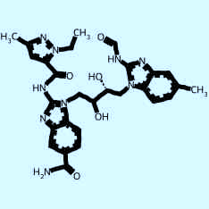 CCn1nc(C)cc1C(=O)Nc1nc2cc(C(N)=O)ccc2n1CC(O)[C@H](O)Cn1c(NC=O)nc2cc(C)ccc21